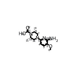 COc1ccc(N2C[C@@H](C)N(C(=O)O)[C@@H](C)C2)nc1N